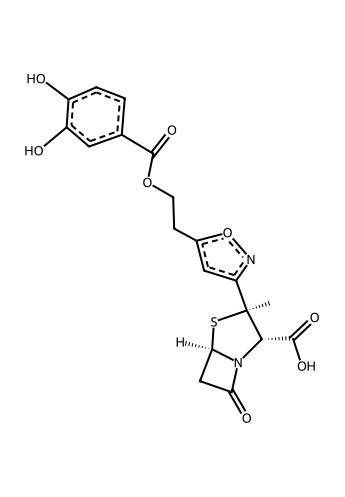 C[C@@]1(c2cc(CCOC(=O)c3ccc(O)c(O)c3)on2)S[C@@H]2CC(=O)N2[C@H]1C(=O)O